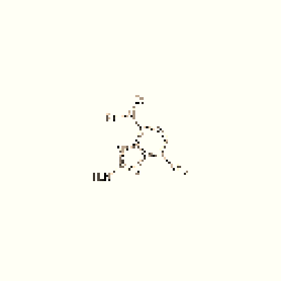 CCN(CC)c1ccc(N)c2sc(N)nc12